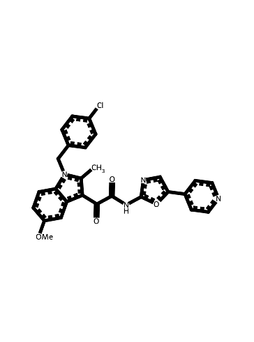 COc1ccc2c(c1)c(C(=O)C(=O)Nc1ncc(-c3ccncc3)o1)c(C)n2Cc1ccc(Cl)cc1